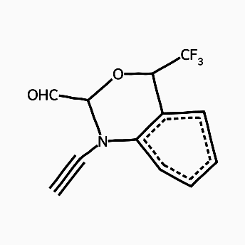 C#CN1c2ccccc2C(C(F)(F)F)OC1C=O